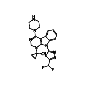 N#CC1(N2CN=C(N3CCNCC3)c3c2n(-c2nnc(C(F)F)s2)c2ccccc32)CC1